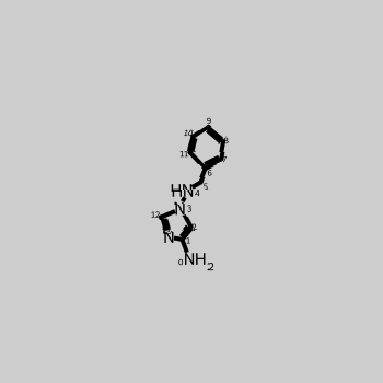 Nc1cn(NCc2ccccc2)cn1